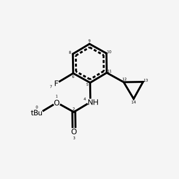 CC(C)(C)OC(=O)Nc1c(F)cccc1C1CC1